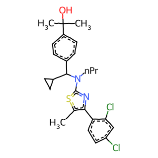 CCCN(c1nc(-c2ccc(Cl)cc2Cl)c(C)s1)C(c1ccc(C(C)(C)O)cc1)C1CC1